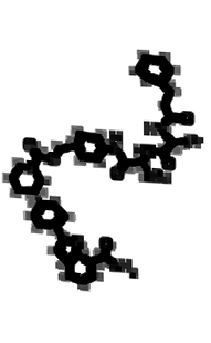 CCCC[C@H](NC(=O)[C@@H](NC(=O)CCc1ccccc1)C(C)C)C(=O)Nc1ccc(COC(=O)N2CCC[C@@H](c3ccc(-n4cc5cccc(C(N)=O)c5n4)cc3)C2)cc1